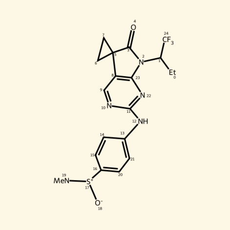 CCC(N1C(=O)C2(CC2)c2cnc(Nc3ccc([S+]([O-])NC)cc3)nc21)C(F)(F)F